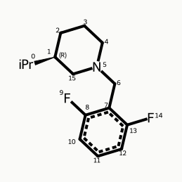 CC(C)[C@H]1CCCN(Cc2c(F)cccc2F)C1